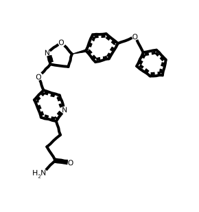 NC(=O)CCc1ccc(OC2=NO[C@@H](c3ccc(Oc4ccccc4)cc3)C2)cn1